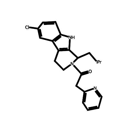 CC(C)CC1c2[nH]c3ccc(Cl)cc3c2CCN1C(=O)Cc1ccccn1